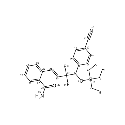 CC[Si](CC)(CC)OC(c1ccc(C#N)cc1)C(F)(F)C=Cc1ccccc1C(N)=O